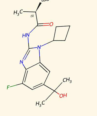 C[C@H](C(=O)Nc1nc2c(F)cc(C(C)(C)O)cc2n1C1CCC1)C(C)(C)C